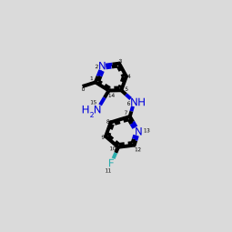 Cc1nccc(Nc2ccc(F)cn2)c1N